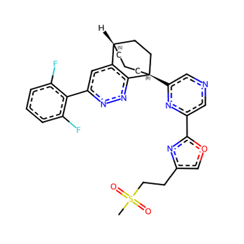 CS(=O)(=O)CCc1coc(-c2cncc([C@@]34CCC[C@@H](CC3)c3cc(-c5c(F)cccc5F)nnc34)n2)n1